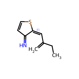 C=C(/C=C1/SC=CC1=N)CC